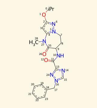 CC(C)Oc1cc2n(n1)CCC(NC(=O)c1ncn(Cc3ccccc3)n1)C(=O)N2C